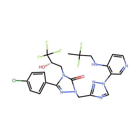 CC(F)(F)CNc1ccncc1-n1cnc(Cn2nc(-c3ccc(Cl)cc3)n(C[C@H](O)C(F)(F)F)c2=O)n1